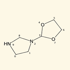 C1CN(C2OCCO2)CN1